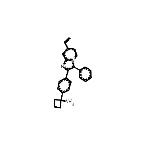 C=Cc1ccn2c(-c3ccccc3)c(-c3ccc(C4(N)CCC4)cc3)nc2c1